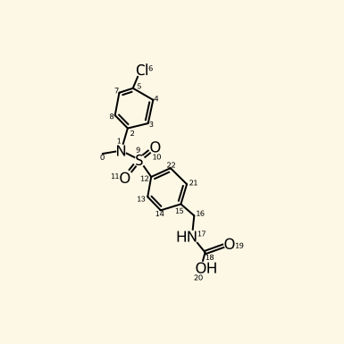 CN(c1ccc(Cl)cc1)S(=O)(=O)c1ccc(CNC(=O)O)cc1